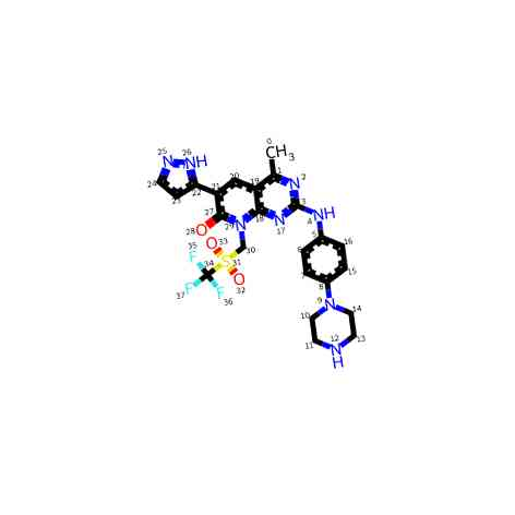 Cc1nc(Nc2ccc(N3CCNCC3)cc2)nc2c1cc(-c1ccn[nH]1)c(=O)n2CS(=O)(=O)C(F)(F)F